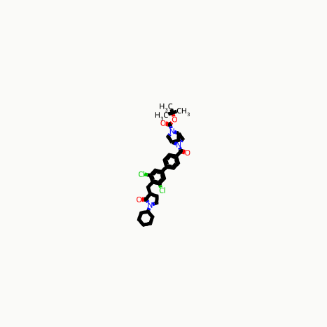 CC(C)(C)OC(=O)N1CC2CC1CN2C(=O)c1ccc(-c2cc(Cl)c(CC3CCN(C4CCCCC4)C3=O)c(Cl)c2)cc1